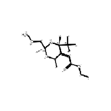 CCOC(=O)C=C1C(C)O[C@@](C)(CO[SiH3])O[C@]1(C)C(C)(C)C